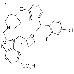 CC(c1cccc(OC2CCN(Cc3nc4ccc(C(=O)O)nc4n3CC3CCO3)CC2)n1)c1ccc(Cl)cc1F